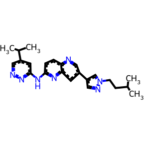 CC(C)CCn1cc(-c2cnc3ccc(Nc4cc(C(C)C)cnn4)nc3c2)cn1